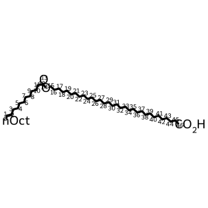 CCCCCCCCC=CCCCCCCCCCC(=O)OCCCCCCCCCCCCCCCCCCCCCCCCCCCCCCCC(=O)O